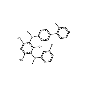 CCCCc1nc(O)c([S+]([O-])c2ccc(-c3ccncc3C)cc2)c(O)c1N(C)c1cccc(Cl)c1